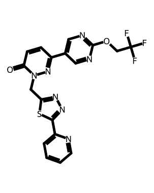 O=c1ccc(-c2cnc(OCC(F)(F)F)nc2)nn1Cc1nnc(-c2ccccn2)s1